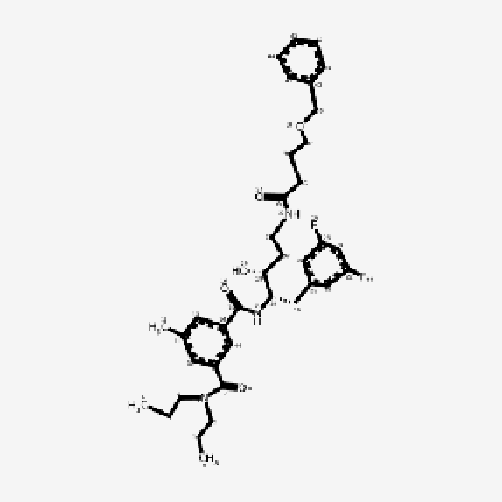 CCCN(CCC)C(=O)c1cc(C)cc(C(=O)N[C@@H](Cc2cc(F)cc(F)c2)[C@H](O)CCNC(=O)CCCOCc2ccccc2)c1